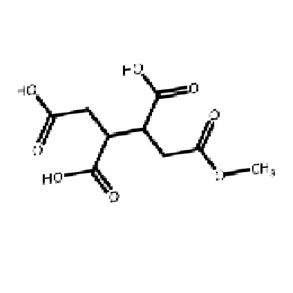 COC(=O)CC(C(=O)O)C(CC(=O)O)C(=O)O